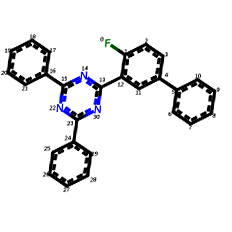 Fc1ccc(-c2ccccc2)cc1-c1nc(-c2ccccc2)nc(-c2ccccc2)n1